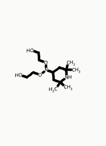 CC1(C)CC(N(OCCO)OCCO)CC(C)(C)N1